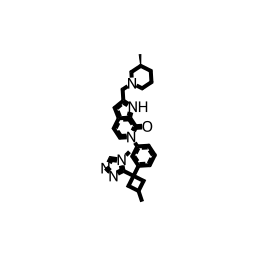 CC1CC(c2cccc(-n3ccc4cc(CN5CCC[C@H](C)C5)[nH]c4c3=O)c2)(c2nncn2C)C1